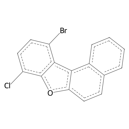 Clc1ccc(Br)c2c1oc1ccc3ccccc3c12